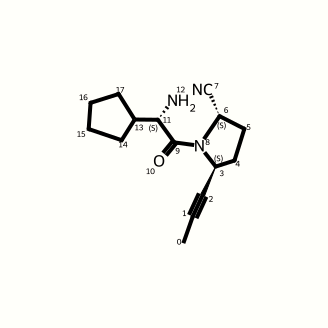 CC#C[C@@H]1CC[C@@H](C#N)N1C(=O)[C@@H](N)C1CCCC1